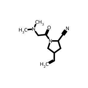 C=CC1CC(C#N)N(C(=O)CN(C)C)C1